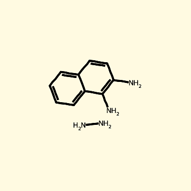 NN.Nc1ccc2ccccc2c1N